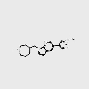 IPn1cc(-c2cnc3c(ccn3CC3CCCNCC3)c2)cn1